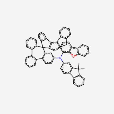 CC1(C)c2ccccc2-c2ccc(N(c3ccc4c(c3)C3(c5ccccc5-c5ccccc5-4)c4ccccc4-c4c3ccc3c4-c4ccccc4C3)c3cccc4c3oc3ccccc34)cc21